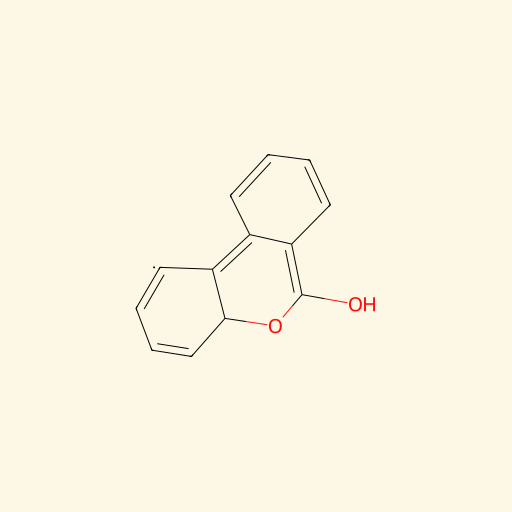 OC1=c2ccccc2=C2[C]=CC=CC2O1